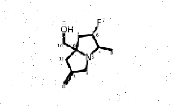 C=C1CN2C(C)[C@H](F)CC2(CO)C1